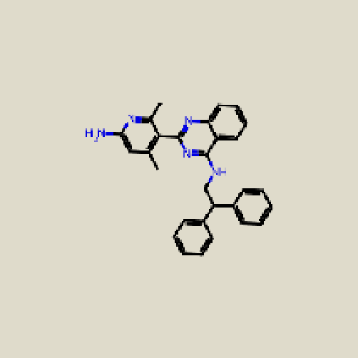 Cc1cc(N)nc(C)c1-c1nc(NCC(c2ccccc2)c2ccccc2)c2ccccc2n1